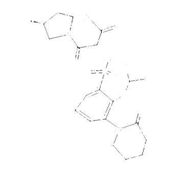 NC(=O)[C@H](NS(=O)(=O)c1cccc(N2CCCCC2=O)c1OC(F)F)C(=O)N1CC[C@H](F)C1